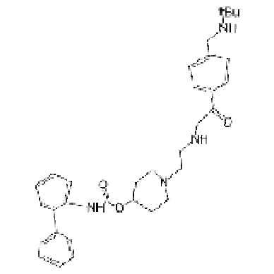 CC(C)(C)NCc1ccc(C(=O)CNCCN2CCC(OC(=O)Nc3ccccc3-c3ccccc3)CC2)cc1